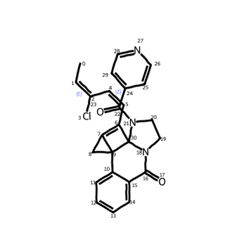 C/C=C(Cl)\C=C/C1=C2CC23c2ccccc2C(=O)N2CCN(C(=O)c4ccncc4)C123